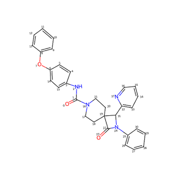 O=C(Nc1ccc(Oc2ccccc2)cc1)N1CCC2(CC1)C(=O)N(c1ccccc1)C2c1ccccn1